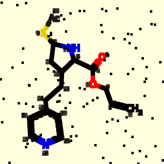 C=CCOC(=O)C1NC(SC(C)=O)CC1CCc1ccncc1